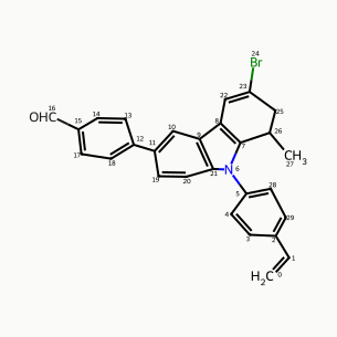 C=Cc1ccc(-n2c3c(c4cc(-c5ccc(C=O)cc5)ccc42)C=C(Br)CC3C)cc1